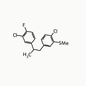 CSc1cc(CC(C)c2ccc(F)c(Cl)c2)ccc1Cl